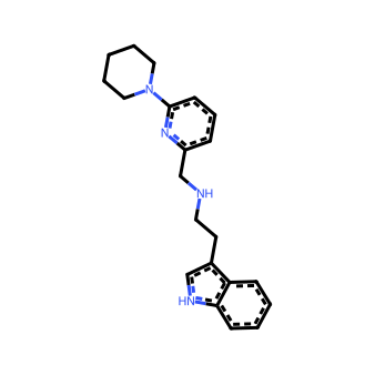 c1cc(CNCCc2c[nH]c3ccccc23)nc(N2CCCCC2)c1